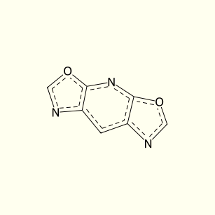 c1nc2cc3ncoc3nc2o1